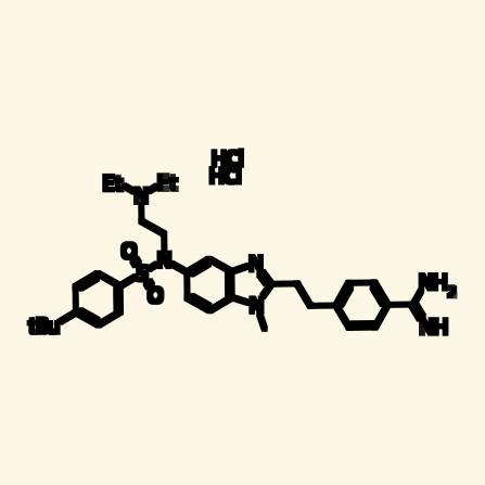 CCN(CC)CCN(c1ccc2c(c1)nc(CCc1ccc(C(=N)N)cc1)n2C)S(=O)(=O)c1ccc(C(C)(C)C)cc1.Cl.Cl